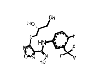 OC[C@@H](O)CSc1nonc1/C(=N\O)Nc1ccc(F)c(C(F)(F)F)c1